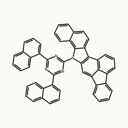 c1ccc2c(c1)-c1cccc3c1c-2cc1c3c2ccc3ccccc3c2n1-c1nc(-c2cccc3ccccc23)nc(-c2cccc3ccccc23)n1